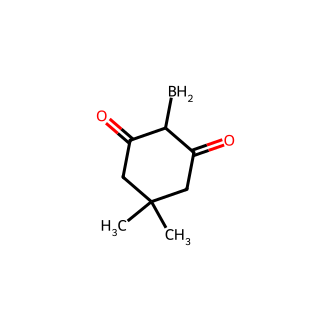 BC1C(=O)CC(C)(C)CC1=O